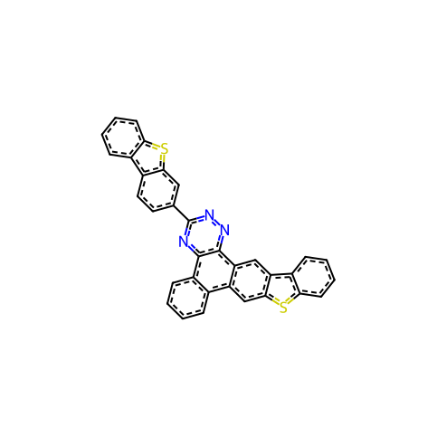 c1ccc2c(c1)sc1cc(-c3nnc4c5cc6c(cc5c5ccccc5c4n3)sc3ccccc36)ccc12